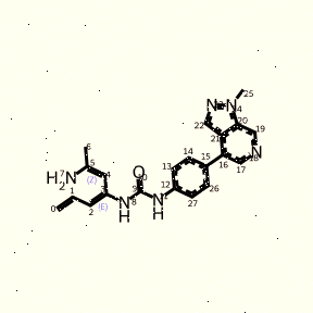 C=C/C=C(\C=C(\C)N)NC(=O)Nc1ccc(-c2cncc3c2cnn3C)cc1